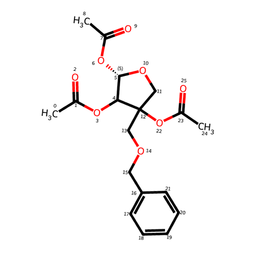 CC(=O)OC1[C@H](OC(C)=O)OCC1(COCc1ccccc1)OC(C)=O